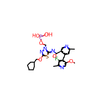 COc1cnc(C)c(F)c1-c1cc(C)ncc1C(=O)/N=c1\sc(OCC2CCCCC2)nn1COP(O)O